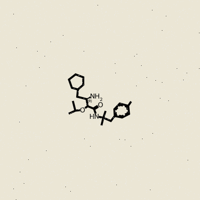 Cc1ccc(CC(C)(C)NC(=O)C(OC(C)C)[C@H](N)CC2CCCCC2)cc1